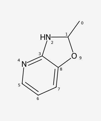 CC1Nc2ncccc2O1